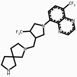 FC(F)(F)c1ccc(N2CC(CN3CCC4(CCNC4)C3)C(C(F)(F)F)C2)c2nccnc12